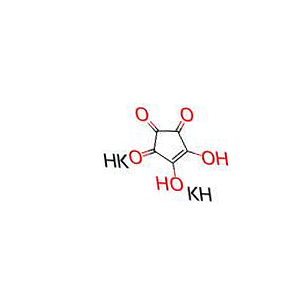 O=c1c(O)c(O)c(=O)c1=O.[KH].[KH]